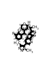 Cc1nnn(C)c1-c1cnc2c3snc(C(C)(C)O)c3n(C(c3cccc(F)c3C)C3CCOCC3)c2c1